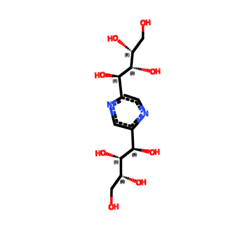 OC[C@@H](O)[C@H](O)[C@H](O)c1cnc([C@@H](O)[C@@H](O)[C@H](O)CO)cn1